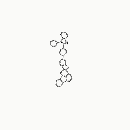 c1ccc(-n2c(-c3ccc(-c4ccc5c(c4)sc4c6cccc7c6c(cc54)-c4ccccc4-7)cc3)nc3ccccc32)cc1